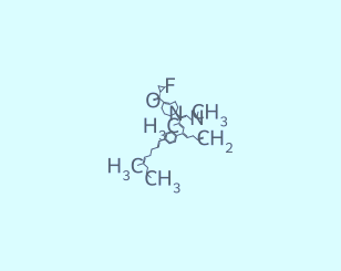 C=CC\C=C(/C=C(C)/C(=C\C=N/C)N1CC/C=C(\C(=O)[C@H]2C[C@@H]2F)CCC1)c1ccc(/C=C/CC/C=C(/C)CCC)cc1